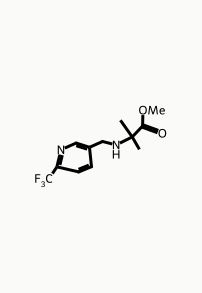 COC(=O)C(C)(C)NCc1ccc(C(F)(F)F)nc1